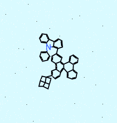 c1ccc(-n2c3ccccc3c3cccc(-c4ccc5c6cc(C78CC9CC%10CC(C7)C%1098)ccc6c6c7ccccc7c7ccccc7c6c5c4)c32)cc1